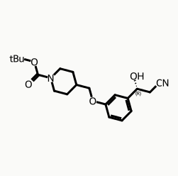 CC(C)(C)OC(=O)N1CCC(COc2cccc([C@H](O)CC#N)c2)CC1